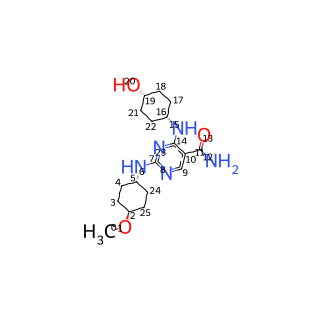 CO[C@H]1CC[C@H](Nc2ncc(C(N)=O)c(N[C@H]3CC[C@@H](O)CC3)n2)CC1